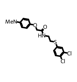 CNc1ccc(OCC(=O)NCCSc2ccc(Cl)c(Cl)c2)cc1